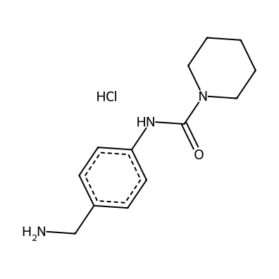 Cl.NCc1ccc(NC(=O)N2CCCCC2)cc1